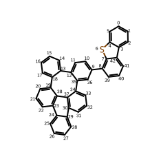 c1ccc2c(c1)sc1c(-c3ccc4c5ccccc5c5cccc6c7ccccc7c7cccc(c4c3)c7c56)cccc12